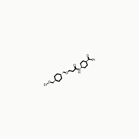 CCOC[C@H]1CC[C@H](COCCC(=O)N[C@H]2CC[C@H](C(=O)C(C)C)CC2)CC1